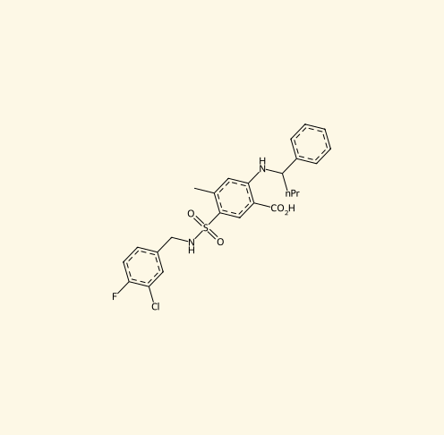 CCCC(Nc1cc(C)c(S(=O)(=O)NCc2ccc(F)c(Cl)c2)cc1C(=O)O)c1ccccc1